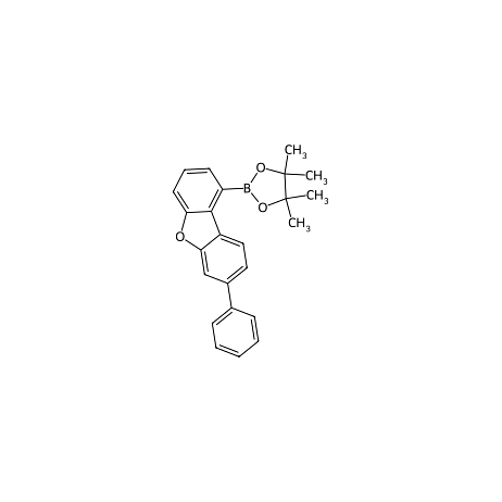 CC1(C)OB(c2cccc3oc4cc(-c5ccccc5)ccc4c23)OC1(C)C